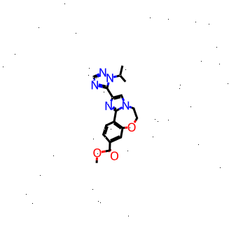 COC(=O)c1ccc2c(c1)OCCn1cc(-c3ncnn3C(C)C)nc1-2